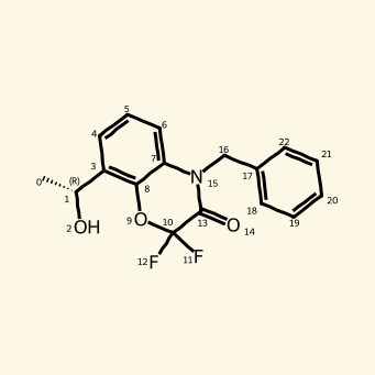 C[C@@H](O)c1cccc2c1OC(F)(F)C(=O)N2Cc1ccccc1